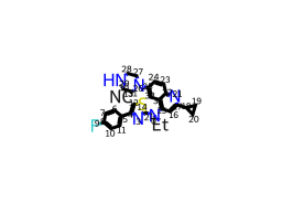 CCN(c1nc(-c2ccc(F)cc2)c(C#N)s1)c1cc(C2CC2)nc2ccc(N3CCNCC3)cc12